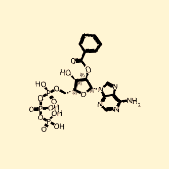 Nc1ncnc2c1ncn2[C@@H]1O[C@H](COP(=O)(O)OP(=O)(O)OP(=O)(O)O)[C@@H](O)[C@H]1OC(=O)c1ccccc1